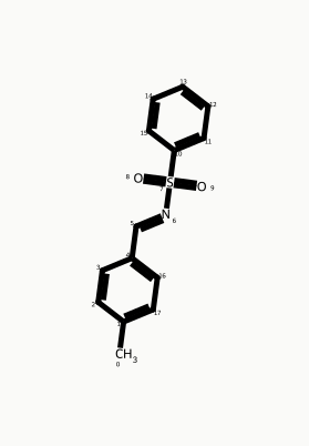 Cc1ccc(C=NS(=O)(=O)c2ccccc2)cc1